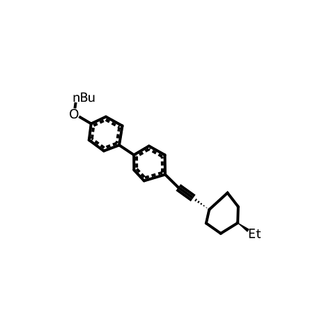 CCCCOc1ccc(-c2ccc(C#C[C@H]3CC[C@H](CC)CC3)cc2)cc1